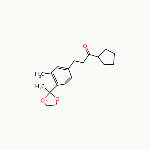 Cc1cc(CCC(=O)C2CCCC2)ccc1C1(C)OCCO1